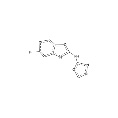 Fc1ccc2oc(Nc3nnco3)nc2c1